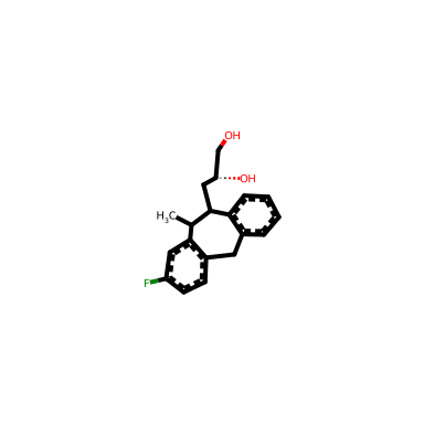 CC1c2cc(F)ccc2Cc2ccccc2C1C[C@@H](O)CO